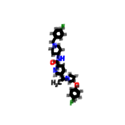 C=C(c1ccc(C(=O)NC2CCN(Cc3ccc(F)cc3)CC2)nc1)N1CC[C@H](Oc2ccc(F)cc2)C1